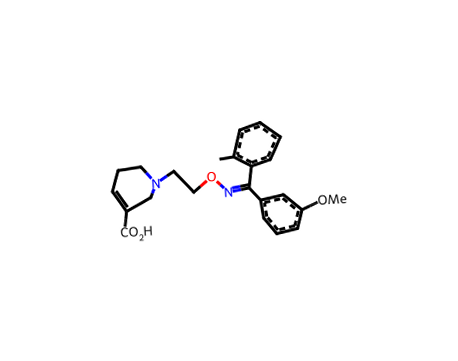 COc1cccc(C(=NOCCN2CCC=C(C(=O)O)C2)c2ccccc2C)c1